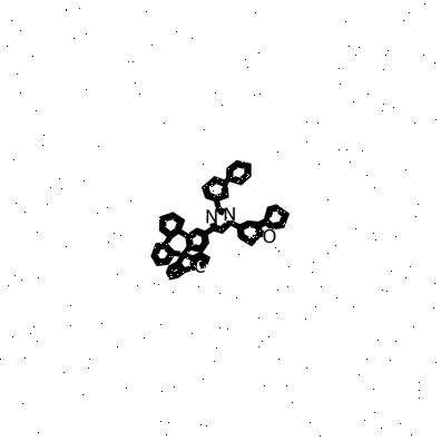 c1ccc(-c2cccc(-c3nc(-c4ccc5c(c4)-c4ccccc4-c4ccccc4C54c5ccccc5-c5ccccc54)cc(-c4ccc5oc6ccccc6c5c4)n3)c2)cc1